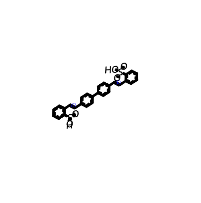 O=[SH](=O)c1ccccc1/C=C/c1ccc(-c2ccc(/C=C/c3ccccc3S(=O)(=O)O)cc2)cc1